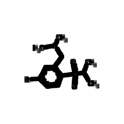 CC(C)S(=O)(=O)c1ccc(Br)cc1CN(C)C